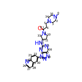 CN1CCN(CCC(=O)N2CCC(Nc3ncc4nnn(-c5ccc6ncccc6c5)c4n3)C2)CC1